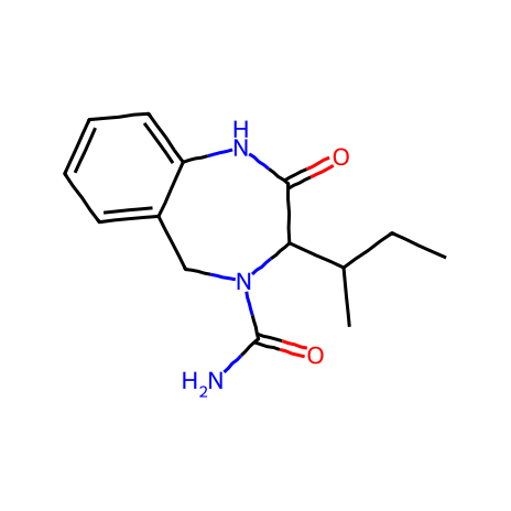 CCC(C)C1C(=O)Nc2ccccc2CN1C(N)=O